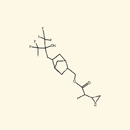 O=C(OCC1CC2CC1CC2CC(O)(C(F)(F)F)C(F)(F)F)C(I)C1CN1